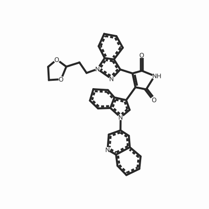 O=C1NC(=O)C(c2nn(CCC3OCCO3)c3ccccc23)=C1c1cn(-c2cnc3ccccc3c2)c2ccccc12